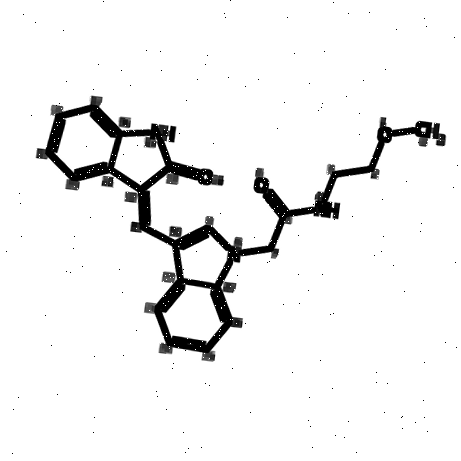 COCCNC(=O)Cn1cc(C=C2C(=O)Nc3ccccc32)c2ccccc21